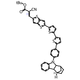 CC(C)(C)OC(=O)/C(C#N)=C/c1cc2sc(-c3ccc(-c4ccc(-c5ccc(N6c7ccccc7C7C6C6CC[C@H]7C6)cc5)s4)s3)cc2s1